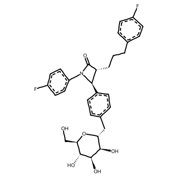 O=C1[C@H](CCCc2ccc(F)cc2)[C@@H](c2ccc(C[C@H]3O[C@H](CO)[C@@H](O)[C@H](O)[C@@H]3O)cc2)N1c1ccc(F)cc1